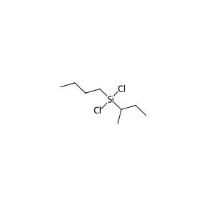 CCCC[Si](Cl)(Cl)C(C)CC